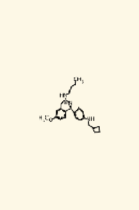 CCCCN[C@H]1Cc2cc(OC)ccc2C(c2ccc(NCC3CCC3)cc2)=N1